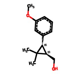 COc1cccc([C@@H]2[C@@H](CO)C2(C)C)c1